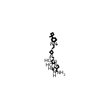 CN1c2ccc(C3(C)CCC3)cc2N(C)C1CC[C@H]1C[C@@H](N(C)C[C@H]2O[C@@H](N3CCC4C(N)NCNC43)[C@H](O)[C@@H]2O)C1